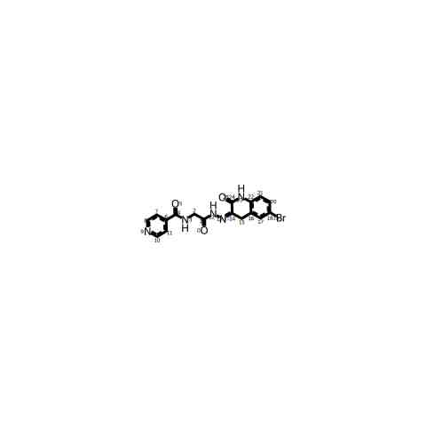 O=C(CNC(=O)c1ccncc1)N/N=C1/Cc2cc(Br)ccc2NC1=O